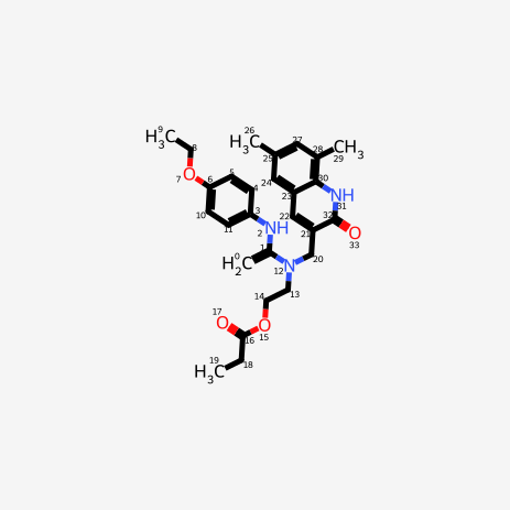 C=C(Nc1ccc(OCC)cc1)N(CCOC(=O)CC)Cc1cc2cc(C)cc(C)c2[nH]c1=O